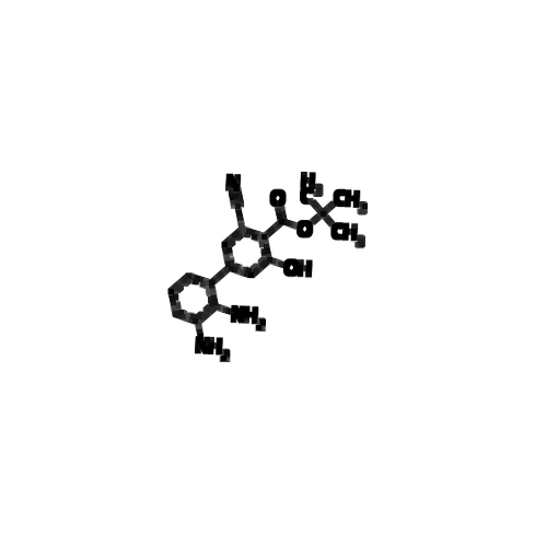 CC(C)(C)OC(=O)c1c(O)cc(-c2cccc(N)c2N)cc1C#N